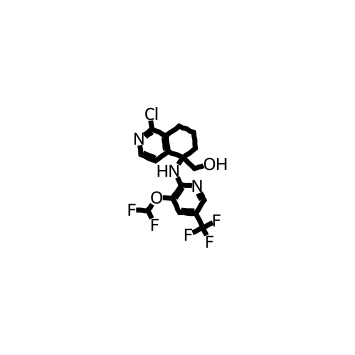 OCC1(Nc2ncc(C(F)(F)F)cc2OC(F)F)CCCc2c1ccnc2Cl